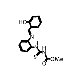 COC(=O)NC(=S)Nc1ccccc1N=Cc1ccccc1O